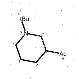 CC(=O)C1CCCN(C(C)(C)C)C1